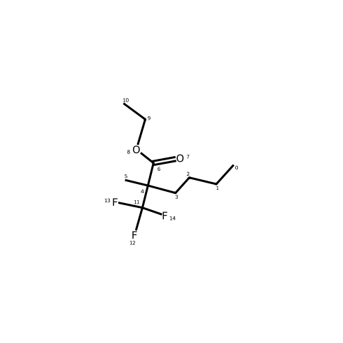 CCCCC(C)(C(=O)OCC)C(F)(F)F